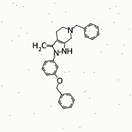 C=C1C2=C(CN(Cc3ccccc3)CC2)NN1c1cccc(OCc2ccccc2)c1